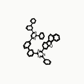 c1ccc(-c2cccc(-c3cc(-c4cccc(-c5cccc(-c6nc(-c7ccccc7)nc(-c7ccc8c(c7)oc7c9ccccc9ccc87)n6)c5)c4)nc(-c4ccccc4)n3)c2)cc1